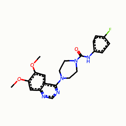 COc1cc2ncnc(N3CCN(C(=O)Nc4ccc(F)cc4)CC3)c2cc1OC